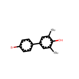 CC(C)(C)c1cc(-c2ccc(Br)cc2)cc(C(C)(C)C)c1O